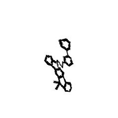 CC1(C)c2ccccc2-c2cc3c(cc21)c1ccccc1n3-c1cccc(-c2ccccc2)c1